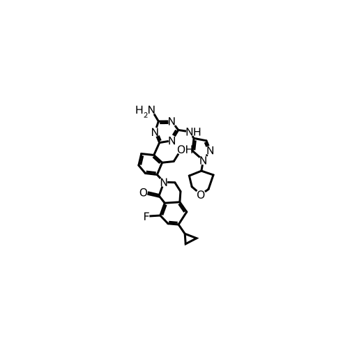 Nc1nc(Nc2cnn(C3CCOCC3)c2)nc(-c2cccc(N3CCc4cc(C5CC5)cc(F)c4C3=O)c2CO)n1